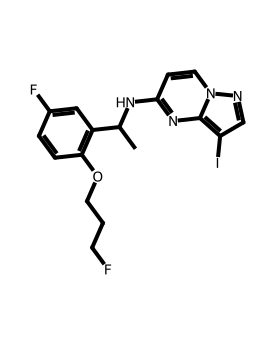 CC(Nc1ccn2ncc(I)c2n1)c1cc(F)ccc1OCCCF